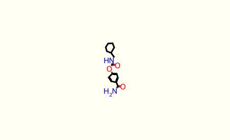 NC(=O)c1ccc(OC(=O)NCC2CCCCC2)cc1